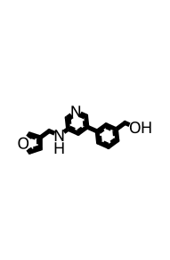 OCc1cccc(-c2cncc(NCc3ccoc3)c2)c1